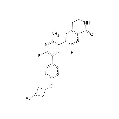 CC(=O)N1CC(Oc2ccc(-c3cc(-c4cc5c(cc4F)C(=O)NCC5)c(N)nc3F)cc2)C1